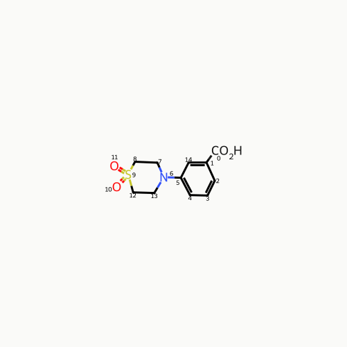 O=C(O)c1cccc(N2CCS(=O)(=O)CC2)c1